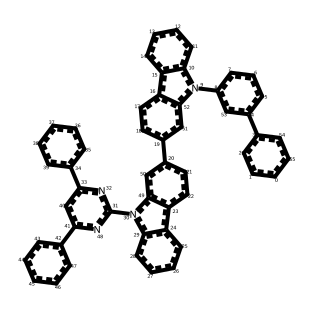 c1ccc(-c2cccc(-n3c4ccccc4c4ccc(-c5ccc6c7ccccc7n(-c7nc(-c8ccccc8)cc(-c8ccccc8)n7)c6c5)cc43)c2)cc1